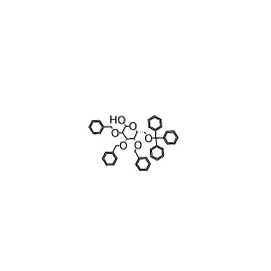 O[C@H]1O[C@H](COC(c2ccccc2)(c2ccccc2)c2ccccc2)[C@H](OCc2ccccc2)[C@H](OCc2ccccc2)[C@H]1OCc1ccccc1